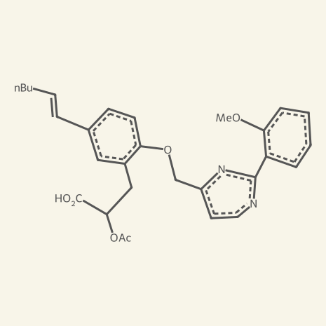 CCCCC=Cc1ccc(OCc2ccnc(-c3ccccc3OC)n2)c(CC(OC(C)=O)C(=O)O)c1